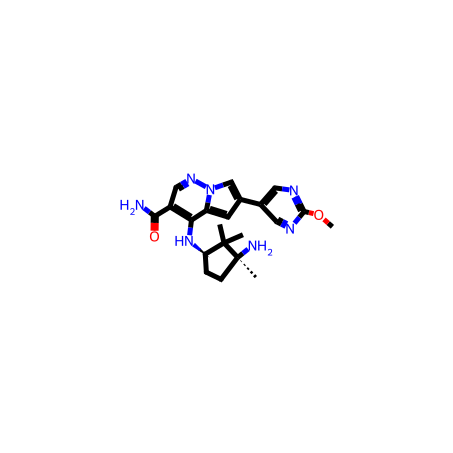 COc1ncc(-c2cc3c(N[C@@H]4CC[C@](C)(N)C4(C)C)c(C(N)=O)cnn3c2)cn1